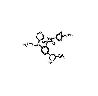 CCCN(c1ccc(C(CC)CC(=O)O)cc1NC(=O)Nc1cnc(C)nc1)C1CCOCC1